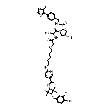 Cc1ncsc1-c1ccc(CNC(=O)[C@@H]2C[C@@H](O)CN2C(=O)C(NC(=O)COCCCCCNc2ccc(C(=O)N[C@H]3C(C)(C)[C@H](Oc4ccc(C#N)c(Cl)c4)C3(C)C)cn2)C(C)(C)C)cc1